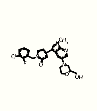 Cn1cc(-c2ccn(Cc3cccc(Cl)c3F)c(=O)c2)c2cc(N3CCOC(CO)C3)cnc21